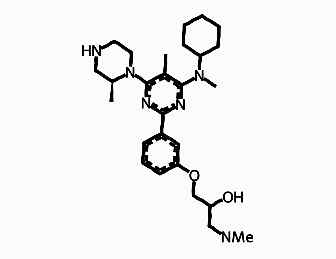 CNCC(O)COc1cccc(-c2nc(N(C)C3CCCCC3)c(C)c(N3CCNC[C@@H]3C)n2)c1